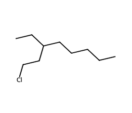 CCCCCC(CC)CCCl